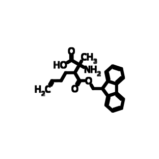 C=CCCC(C(=O)OCC1c2ccccc2-c2ccccc21)C(C)(N)C(=O)O